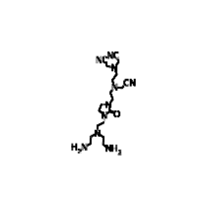 N#CCN(CC#N)CCN(CC#N)CCN1CCN(CCN(CCN)CCN)C1=O